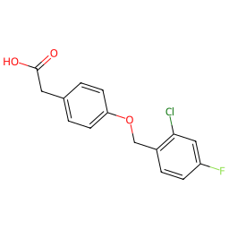 O=C(O)Cc1ccc(OCc2ccc(F)cc2Cl)cc1